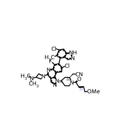 COC/C=C/C(=O)N1CC[C@H](n2ncc3c(N4CC(N(C)C)C4)nc4c(F)c(-c5c(C)c(Cl)cc6[nH]ncc56)c(Cl)cc4c32)C[C@H]1CC#N